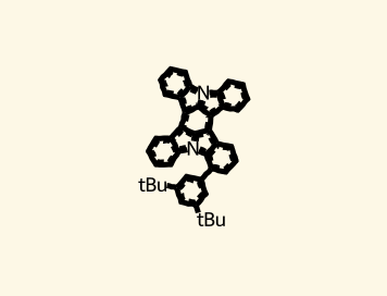 CC(C)(C)c1cc(-c2cccc3c4c5c6ccccc6n6c7ccccc7c(c7c8ccccc8n(c23)c74)c56)cc(C(C)(C)C)c1